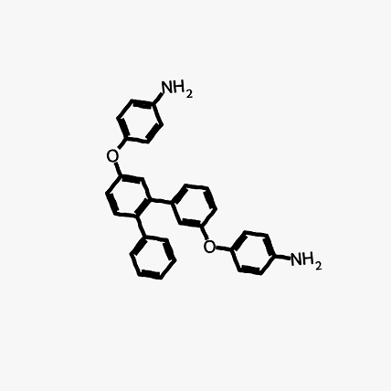 Nc1ccc(Oc2cccc(-c3cc(Oc4ccc(N)cc4)ccc3-c3ccccc3)c2)cc1